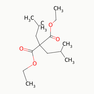 CCOC(=O)C(CC(C)C)(CC(C)C)C(=O)OCC